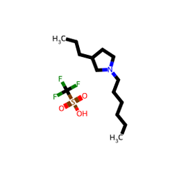 CCCCCCN1CCC(CCC)C1.O=S(=O)(O)C(F)(F)F